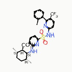 Cc1ccccc1-c1nc(NS(=O)(=O)c2cccc(N[C@@H]3[C@H](C(=O)O)[C@@H](C)CC[C@H]3C)n2)ccc1C(F)(F)F